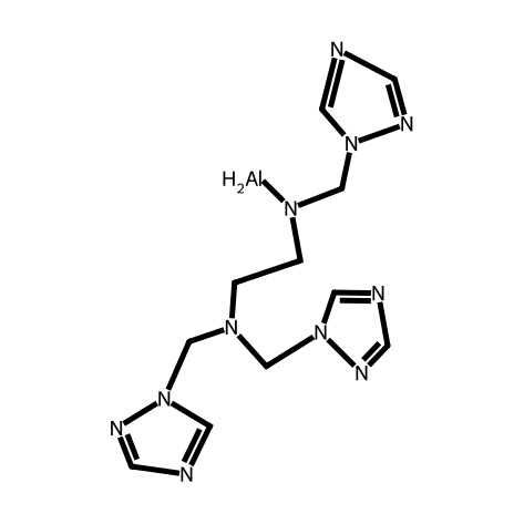 [AlH2][N](CCN(Cn1cncn1)Cn1cncn1)Cn1cncn1